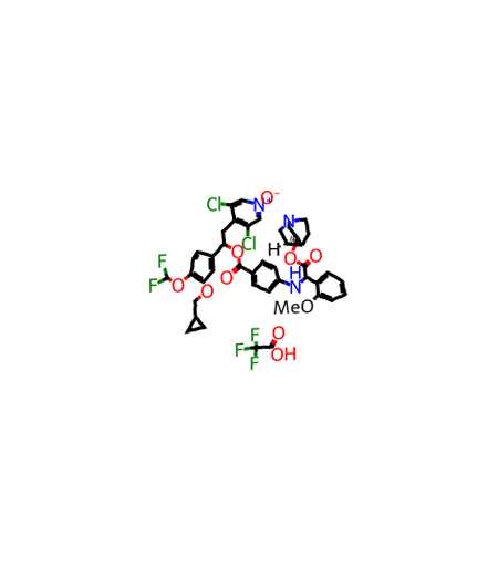 COc1ccccc1C(Nc1ccc(C(=O)OC(Cc2c(Cl)c[n+]([O-])cc2Cl)c2ccc(OC(F)F)c(OCC3CC3)c2)cc1)C(=O)O[C@H]1CN2CCC1CC2.O=C(O)C(F)(F)F